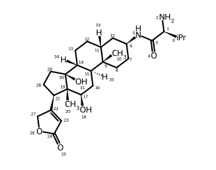 CC(C)[C@H](N)C(=O)N[C@H]1CC[C@@]2(C)[C@H](CC[C@@H]3[C@@H]2C[C@@H](O)[C@]2(C)[C@@H](C4=CC(=O)OC4)CC[C@]32O)C1